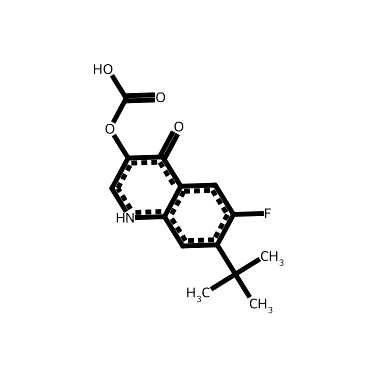 CC(C)(C)c1cc2[nH]cc(OC(=O)O)c(=O)c2cc1F